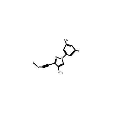 Cc1cn(-c2cc(F)cc(C#N)c2)nc1C#CSI